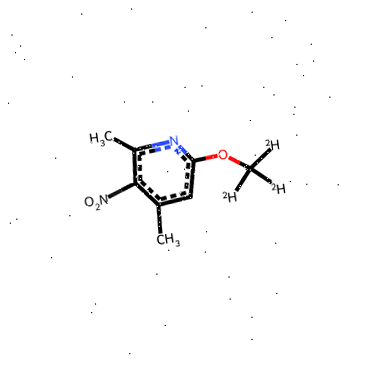 [2H]C([2H])([2H])Oc1cc(C)c([N+](=O)[O-])c(C)n1